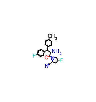 Cc1ccc(C(c2ccc(F)cc2)[C@H](N)C(=O)N2C[C@@H](F)C[C@H]2C#N)cc1